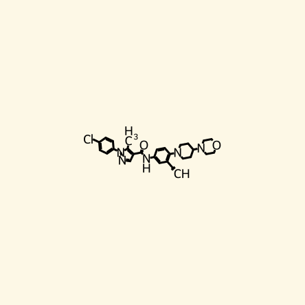 C#Cc1cc(NC(=O)c2cnn(-c3ccc(Cl)cc3)c2C)ccc1N1CCC(N2CCOCC2)CC1